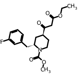 CCOC(=O)CC(=O)[C@H]1CCN(C(=O)OC)[C@H](Cc2cccc(F)c2)C1